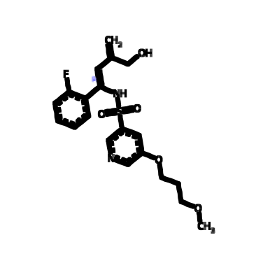 C=C(/C=C(\NS(=O)(=O)c1cncc(OCCCOC)c1)c1ccccc1F)CO